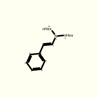 CCCCCCN(C=Cc1ccccc1)CCCCCC